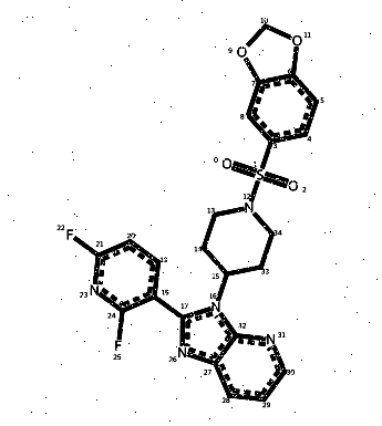 O=S(=O)(c1ccc2c(c1)OCO2)N1CCC(n2c(-c3ccc(F)nc3F)nc3cccnc32)CC1